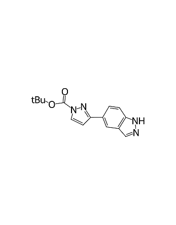 CC(C)(C)OC(=O)n1ccc(-c2ccc3[nH]ncc3c2)n1